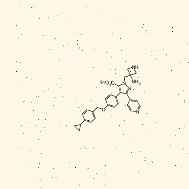 CCOC(=O)c1c(-c2ccc(OCc3ccc(C4CC4)cc3)cc2)c(-c2ccncc2)nn1CC1(N)CNC1